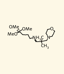 CO[Si](CCCN=CC(C)(C)CN1CCOCC1)(OC)OC